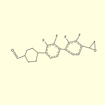 O=CC1CCC(c2ccc(-c3ccc(C4CO4)c(F)c3F)c(F)c2F)CC1